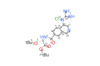 CC(C)(C)OC[C@H](NC(=O)c1ccc2c(N(Cl)C(=N)N)cncc2c1)C(=O)OC(C)(C)C